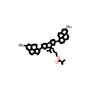 C=C(C)C(=O)OCCCCC1(C(=C)C)c2cc(-c3ccc4ccc5cc(C(C)(C)C)cc6ccc3c4c56)ccc2-c2ccc(-c3ccc4ccc5cc(C(C)(C)C)cc6ccc3c4c56)cc21